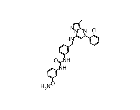 Cc1cnn2c(NCc3cccc(NC(=O)Nc4cccc(ON)c4)c3)cc(-c3ccccc3Cl)nc12